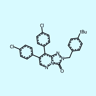 CC(C)(C)c1ccc(Cn2nc3c(-c4ccc(Cl)cc4)c(-c4ccc(Cl)cc4)cnn3c2=O)cc1